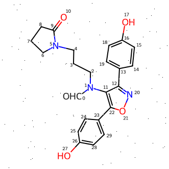 O=CN(CCCN1CCCC1=O)c1c(-c2ccc(O)cc2)noc1-c1ccc(O)cc1